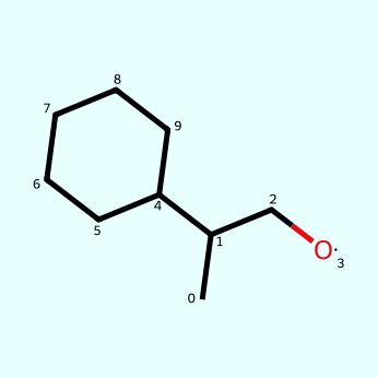 CC(C[O])C1CCCCC1